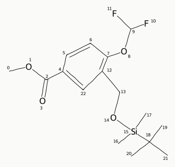 COC(=O)c1ccc(OC(F)F)c(CO[Si](C)(C)C(C)(C)C)c1